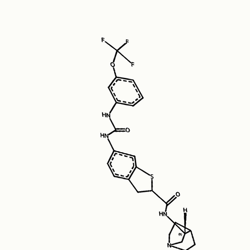 O=C(Nc1cccc(OC(F)(F)F)c1)Nc1ccc2c(c1)SC(C(=O)N[C@H]1CN3CCC1CC3)C2